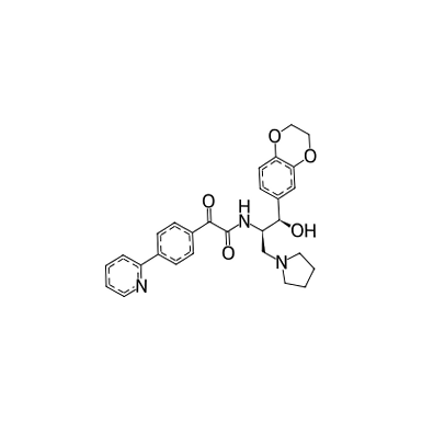 O=C(N[C@H](CN1CCCC1)[C@H](O)c1ccc2c(c1)OCCO2)C(=O)c1ccc(-c2ccccn2)cc1